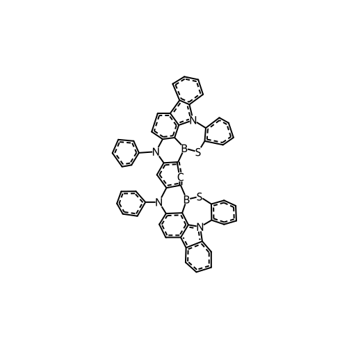 c1ccc(N2c3cc4c(cc3B3Sc5ccccc5-n5c6ccccc6c6ccc2c3c65)B2Sc3ccccc3-n3c5ccccc5c5ccc(c2c53)N4c2ccccc2)cc1